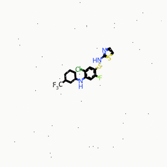 Fc1cc(NC2CCCC(C(F)(F)F)C2)c(Cl)cc1SNc1nccs1